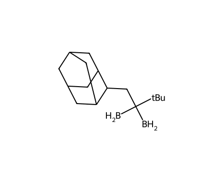 BC(B)(CC1C2CC3CC(C2)CC1C3)C(C)(C)C